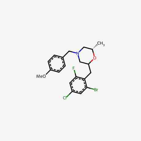 COc1ccc(CN2CC(Cc3c(F)cc(Cl)cc3Br)O[C@@H](C)C2)cc1